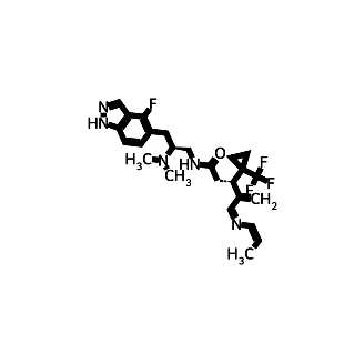 C=C(/C=N\C=C/C)[C@H](CC(=O)NC[C@H](Cc1ccc2[nH]ncc2c1F)N(C)C)C1(C(F)(F)F)CC1